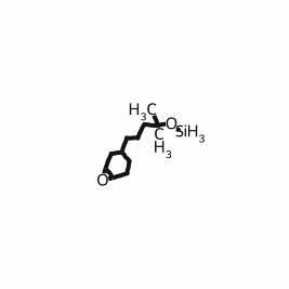 CC(C)(CCCC1CCC2OC2C1)O[SiH3]